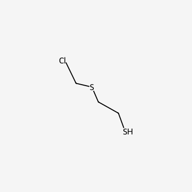 SCCSCCl